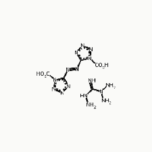 N=C(NN)N(N)N.O=C(O)n1nnnc1N=Nc1nnnn1C(=O)O